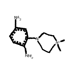 C[N+]1(C)CCN(c2cc(N)ccc2N)CC1